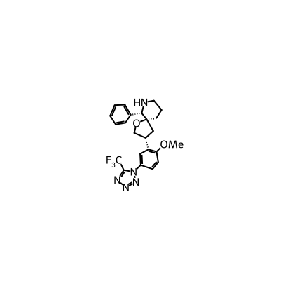 COc1ccc(-n2nnnc2C(F)(F)F)cc1[C@@H]1CO[C@]2(CCCN[C@H]2c2ccccc2)C1